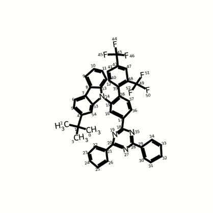 CC(C)(C)c1ccc2c3ccccc3n(-c3cc(-c4nc(-c5ccccc5)nc(-c5ccccc5)n4)ccc3-c3ccc(C(F)(F)F)cc3C(F)(F)F)c2c1